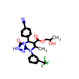 CC1=C(C(=O)OCC(C)O)C(c2ccc(C#N)cc2)n2c(n[nH]c2=O)N1c1cccc(C(F)(F)F)c1